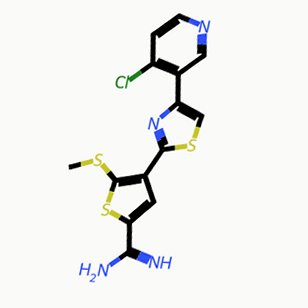 CSc1sc(C(=N)N)cc1-c1nc(-c2cnccc2Cl)cs1